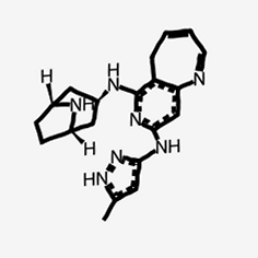 Cc1cc(Nc2cc3c(c(N[C@@H]4C[C@H]5CC[C@@H](C4)N5)n2)CC=CC=N3)n[nH]1